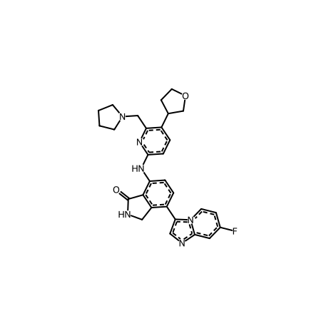 O=C1NCc2c(-c3cnc4cc(F)ccn34)ccc(Nc3ccc(C4CCOC4)c(CN4CCCC4)n3)c21